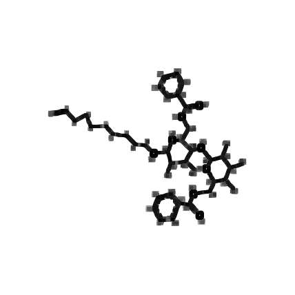 C=CCCCCCCCCOC1OC(COC(=O)c2ccccc2)C(OC2OC(COC(=O)c3ccccc3)C(C)C(C)C2C)C(C)C1C